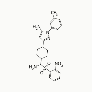 Nc1cc(C2CCC(C(N)S(=O)(=O)c3ccccc3[N+](=O)[O-])CC2)nn1-c1cccc(C(F)(F)F)c1